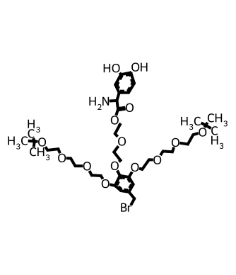 CC(C)(C)OCCOCCOCCOc1cc(CBr)cc(OCCOCCOCCOC(C)(C)C)c1OCCOCCOC(=O)C(N)c1ccc(O)c(O)c1